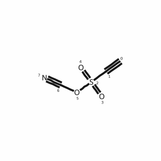 C#CS(=O)(=O)OC#N